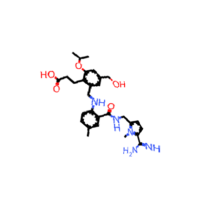 Cc1ccc(NCc2cc(CO)cc(OC(C)C)c2CCC(=O)O)c(C(=O)NCc2ccc(C(=N)N)n2C)c1